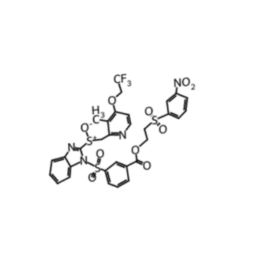 Cc1c(OCC(F)(F)F)ccnc1C[S+]([O-])c1nc2ccccc2n1S(=O)(=O)c1cccc(C(=O)OCCS(=O)(=O)c2cccc([N+](=O)[O-])c2)c1